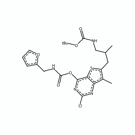 Cc1c(CC(C)CNC(=O)OC(C)(C)C)sc2c(OC(=O)NCc3ccco3)nc(Cl)nc12